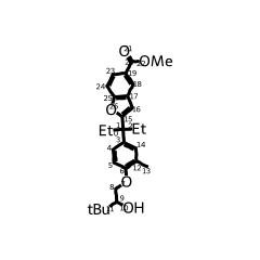 CCC(CC)(c1ccc(OCC(O)C(C)(C)C)c(C)c1)c1cc2cc(C(=O)OC)ccc2o1